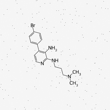 CN(C)CCCNc1nccc(-c2ccc(Br)cc2)c1N